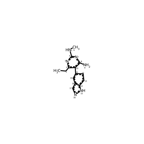 CCc1nc(NC)nc(N)c1-c1ccc2[nH]ncc2c1